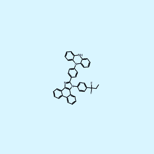 CCC(F)(F)c1ccc(-n2c(-c3ccc(N4c5ccccc5Nc5ccccc54)cc3)nc3c4ccccc4c4ccccc4c32)cc1